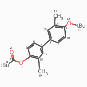 CCC(C)C(=O)Oc1ccc(-c2ccc(OC(C)(C)C)c(C)c2)cc1C